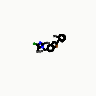 CCCCc1nc(Cl)c(C(=O)O)n1Cc1ccc2sc(-c3ccccc3C#N)cc2c1